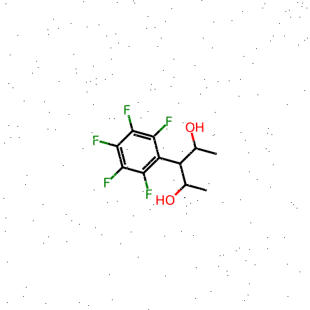 CC(O)C(c1c(F)c(F)c(F)c(F)c1F)C(C)O